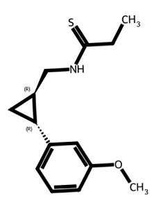 CCC(=S)NC[C@@H]1C[C@H]1c1cccc(OC)c1